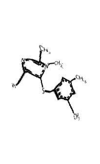 [CH2]n1c(C)nc(C(C)C)c1Sc1cc(C)cc(C)c1